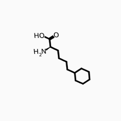 N[C@H](CCCCC1CCCCC1)C(=O)O